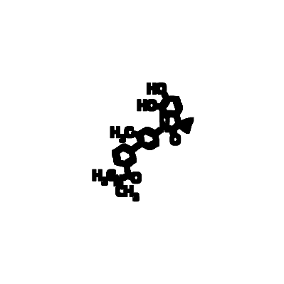 Cc1cc(NC(=O)C2(c3ccc(O)c(O)c3)CC2)ccc1-c1cccc(C(=O)N(C)C)c1